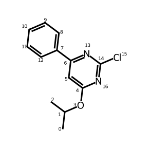 CC(C)Oc1cc(-c2ccccc2)nc(Cl)n1